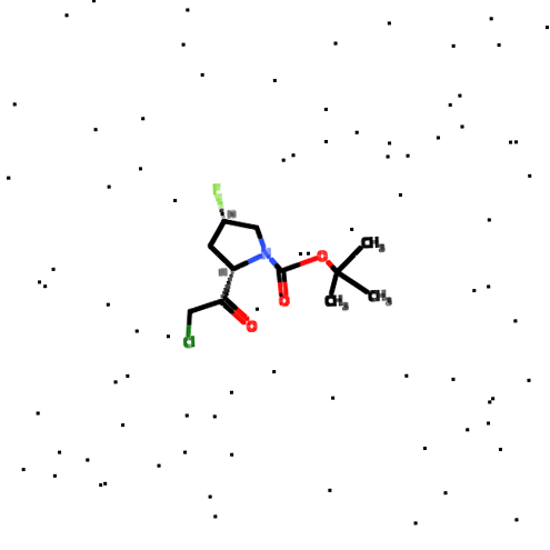 CC(C)(C)OC(=O)N1C[C@@H](F)C[C@H]1C(=O)CCl